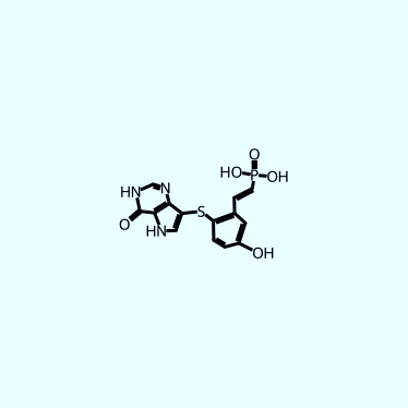 O=c1[nH]cnc2c(Sc3ccc(O)cc3C=CP(=O)(O)O)c[nH]c12